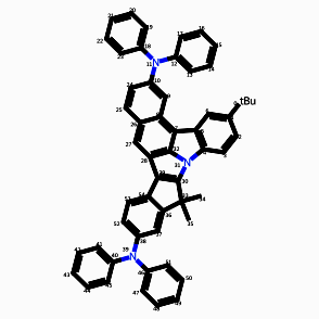 CC(C)(C)c1ccc2c(c1)c1c3cc(N(c4ccccc4)c4ccccc4)ccc3cc3c4c(n2c31)C(C)(C)c1cc(N(c2ccccc2)c2ccccc2)ccc1-4